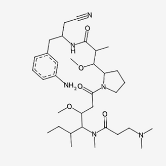 CCC(C)C(C(CC(=O)N1CCCC1C(OC)C(C)C(=O)NC(CC#N)Cc1cccc(N)c1)OC)N(C)C(=O)CCN(C)C